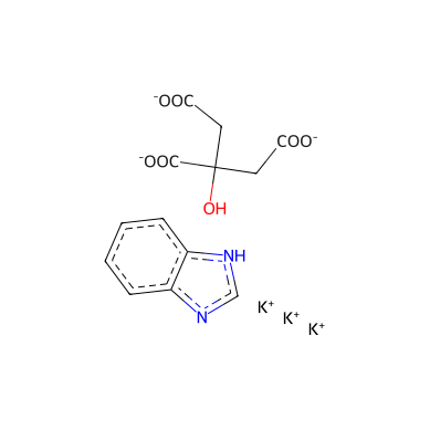 O=C([O-])CC(O)(CC(=O)[O-])C(=O)[O-].[K+].[K+].[K+].c1ccc2[nH]cnc2c1